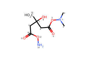 CN(C)OC(=O)CC(O)(CC(=O)ON)C(=O)O